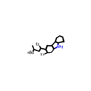 CCCCC(C)CC(CC)C1CC2C(CC1CC)NC1CCCCC12